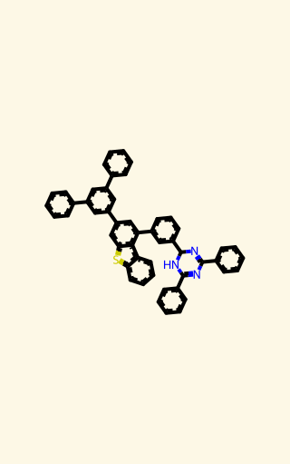 c1ccc(C2=NC(c3cccc(-c4cc(-c5cc(-c6ccccc6)cc(-c6ccccc6)c5)cc5sc6ccccc6c45)c3)NC(c3ccccc3)=N2)cc1